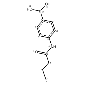 O=C(CCBr)Nc1ccc(B(O)O)cc1